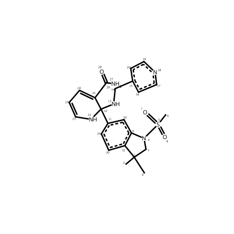 CC1(C)CN(S(C)(=O)=O)c2cc(C3(NCc4ccncc4)NC=CC=C3C(N)=O)ccc21